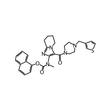 CN(C(=O)Oc1cccc2ccccc12)c1nc2n(c1C(=O)N1CCN(Cc3ccsc3)CC1)CCCC2